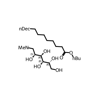 CCCCCCCCCCCCCCCCCC(=O)OCCCC.CNC[C@H](O)[C@@H](O)[C@H](O)[C@H](O)CO